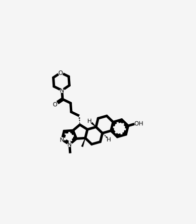 Cn1ncc2c1[C@@]1(C)CC[C@@H]3c4ccc(O)cc4CC[C@H]3C1[C@H]2CCCC(=O)N1CCOCC1